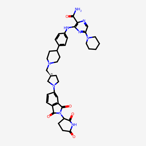 NC(=O)c1ncc(N2CCCCC2)nc1Nc1ccc(C2CCN(C[C@H]3CCN(c4ccc5c(c4)C(=O)N(C4CCC(=O)NC4=O)C5=O)C3)CC2)cc1